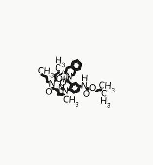 CCCCN(CCCC)C(=O)c1cc(C)n(-c2ccc(NC(=O)OCC(C)C)cc2C(=O)N2Cc3ccccc3C[C@H]2CO)n1